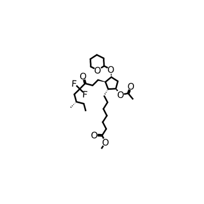 CC[C@H](C)CC(F)(F)C(=O)CC[C@@H]1[C@@H](CCCCCCC(=O)OC)[C@H](OC(C)=O)C[C@H]1OC1CCCCO1